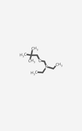 CCN(CC)COCC(C)(C)C